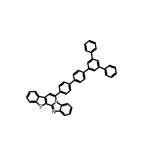 c1ccc(-c2cc(-c3ccccc3)cc(-c3ccc(-c4ccc(-c5cc6c7ccccc7sc6c6nc7ccccc7n56)cc4)cc3)c2)cc1